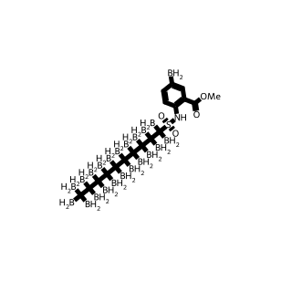 Bc1ccc(NS(=O)(=O)C(B)(B)C(B)(B)C(B)(B)C(B)(B)C(B)(B)C(B)(B)C(B)(B)C(B)(B)C(B)(B)C(B)(B)B)c(C(=O)OC)c1